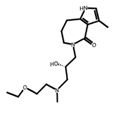 CCOCCN(C)C[C@H](O)CN1CCCc2[nH]cc(C)c2C1=O